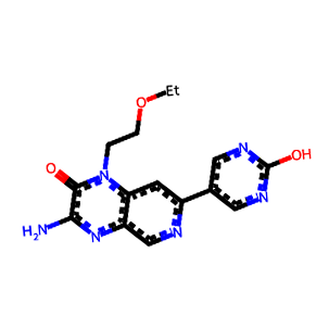 CCOCCn1c(=O)c(N)nc2cnc(-c3cnc(O)nc3)cc21